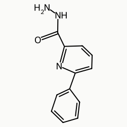 NNC(=O)c1cccc(-c2ccccc2)n1